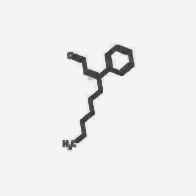 CCCCCC/C(=C/C=O)c1ccccc1